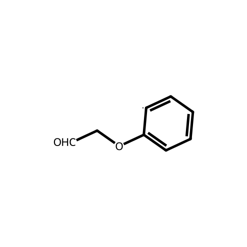 O=CCOc1[c]cccc1